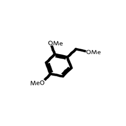 [CH2]OCc1ccc(OC)cc1OC